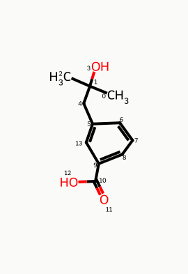 CC(C)(O)Cc1cccc(C(=O)O)c1